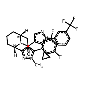 Cn1nc2c(c1-c1cc(F)cc(F)c1)C[C@H]1CCC[C@@H]2N1C(=O)c1cnn(-c2cccc(C(F)(F)F)c2)c1C1CC1